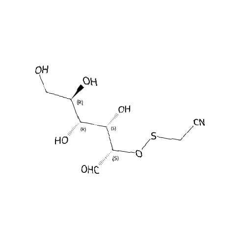 N#CCSO[C@H](C=O)[C@@H](O)[C@H](O)[C@H](O)CO